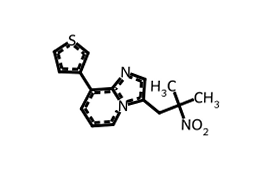 CC(C)(Cc1cnc2c(-c3ccsc3)cccn12)[N+](=O)[O-]